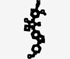 COc1cc(N2C(=O)C3(CCC3)N(c3ccc4c(cnn4C4CCN(C=O)CC4)c3)C2=S)cnc1C#N